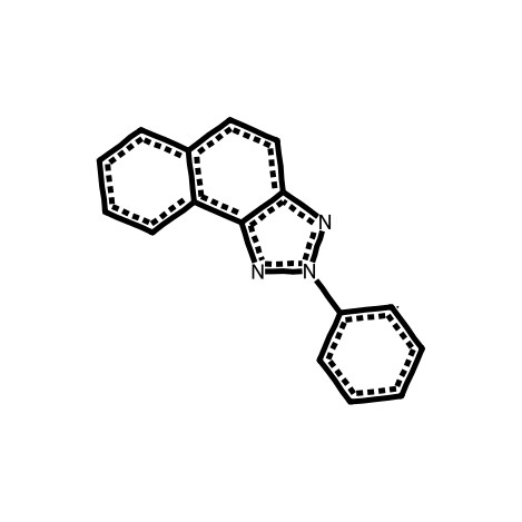 [c]1ccccc1-n1nc2ccc3ccccc3c2n1